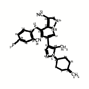 C=C1CCC(n2ncc(-c3cc(Sc4ccc(F)cc4C#N)c4c(C#N)cnn4c3)c2C)CC1